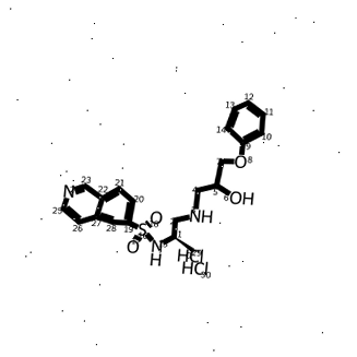 C[C@H](CNCC(O)COc1ccccc1)NS(=O)(=O)c1ccc2cnccc2c1.Cl.Cl